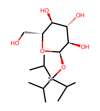 CC(C)[Si](O[C@H]1O[C@H](CO)[C@@H](O)[C@H](O)[C@H]1O)(C(C)C)C(C)C